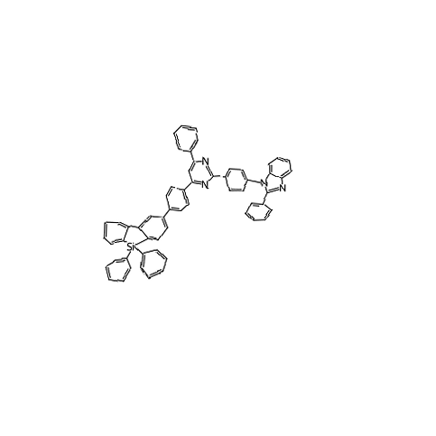 c1ccc(-c2cc(-c3ccc(-c4ccc5c(c4)-c4ccccc4[Si]5(c4ccccc4)c4ccccc4)cc3)nc(-c3ccc(-n4c(-c5ccccc5)nc5ccccc54)cc3)n2)cc1